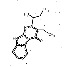 CCc1c(C(C)CC)nc2[nH]c3ccccc3n2c1=O